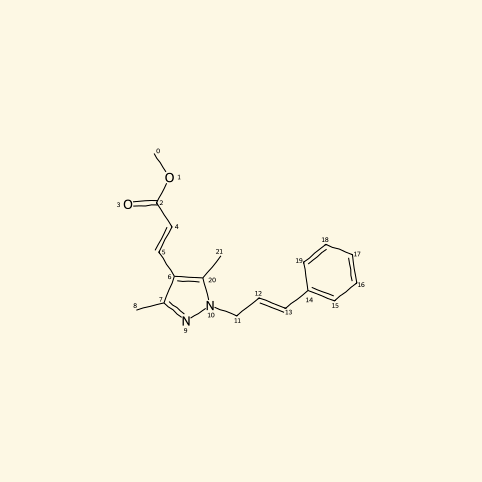 COC(=O)C=Cc1c(C)nn(CC=Cc2ccccc2)c1C